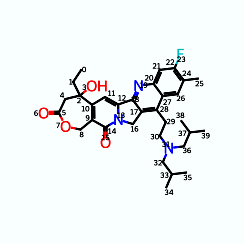 CCC1(O)CC(=O)OCc2c1cc1n(c2=O)Cc2c-1nc1cc(F)c(C)cc1c2CCN(CC(C)C)CC(C)C